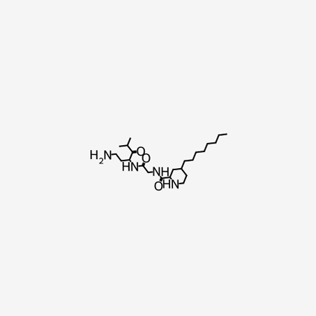 CCCCCCCCC1CCNC(C(=O)NCC(=O)NC(CCN)C(=O)C(C)C)C1